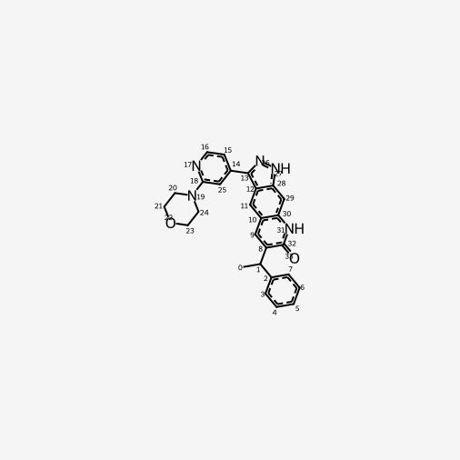 CC(c1ccccc1)c1cc2cc3c(-c4ccnc(N5CCOCC5)c4)n[nH]c3cc2[nH]c1=O